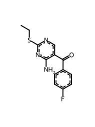 CCSc1ncc(C(=O)c2ccc(F)cc2)c(N)n1